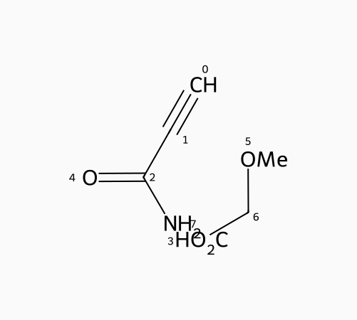 C#CC(N)=O.COCC(=O)O